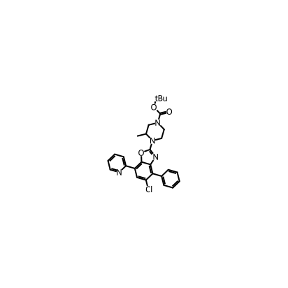 CC1CN(C(=O)OC(C)(C)C)CCN1c1nc2c(-c3ccccc3)c(Cl)cc(-c3ccccn3)c2o1